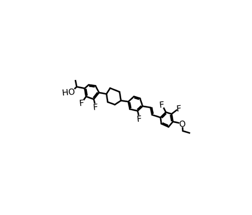 CCOc1ccc(/C=C/c2ccc(C3CCC(c4ccc(C(C)O)c(F)c4F)CC3)cc2F)c(F)c1F